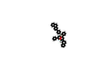 c1ccc(-c2cccc(N(c3ccc(-c4ccc5c(ccc6ccccc65)c4)cc3)c3ccccc3-c3ccc4oc5c6ccccc6ccc5c4c3)c2)cc1